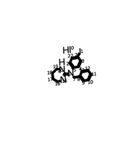 I.Ic1ccc(N(Cc2ccccc2)C2=NCCCCN2)cc1